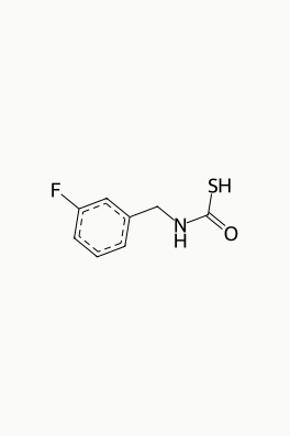 O=C(S)NCc1cccc(F)c1